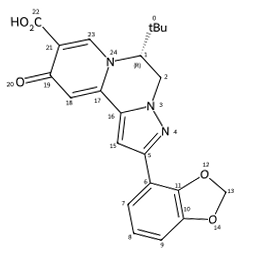 CC(C)(C)[C@@H]1Cn2nc(-c3cccc4c3OCO4)cc2-c2cc(=O)c(C(=O)O)cn21